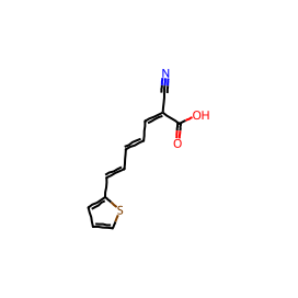 N#CC(=CC=CC=Cc1cccs1)C(=O)O